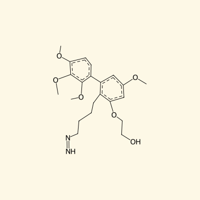 COc1cc(OCCO)c(CCCCN=N)c(-c2ccc(OC)c(OC)c2OC)c1